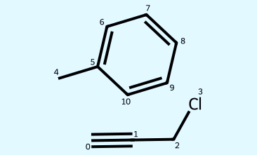 C#CCCl.Cc1ccccc1